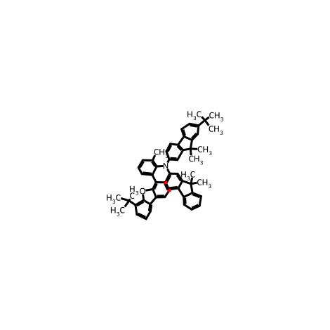 Cc1cccc(-c2cccc3c2oc2c(C(C)(C)C)cccc23)c1N(c1ccc2c(c1)C(C)(C)c1ccccc1-2)c1ccc2c(c1)C(C)(C)c1cc(C(C)(C)C)ccc1-2